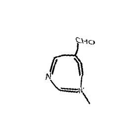 C[n+]1cncc(C=O)c1